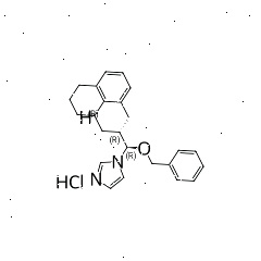 Cl.c1ccc(CO[C@H]([C@H]2Cc3cccc4c3[C@H](CCC4)C2)n2ccnc2)cc1